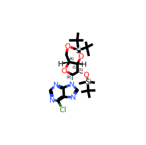 CC(C)(C)[Si](C)(C)O[C@H]1[C@H]2O[Si](C(C)(C)C)(C(C)(C)C)OC[C@H]2O[C@H]1n1cnc2c(Cl)ncnc21